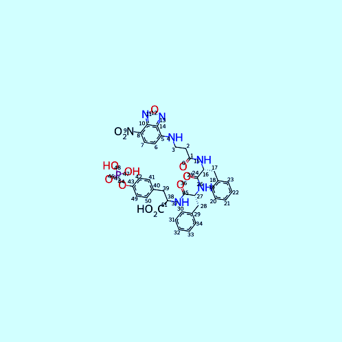 O=C(CCNc1ccc([N+](=O)[O-])c2nonc12)N[C@H](Cc1ccccc1)C(=O)N[C@H](Cc1ccccc1)C(=O)N[C@H](Cc1ccc(OP(=O)(O)O)cc1)C(=O)O